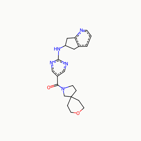 O=C(c1cnc(NC2Cc3cccnc3C2)nc1)N1CCC2(CCOCC2)C1